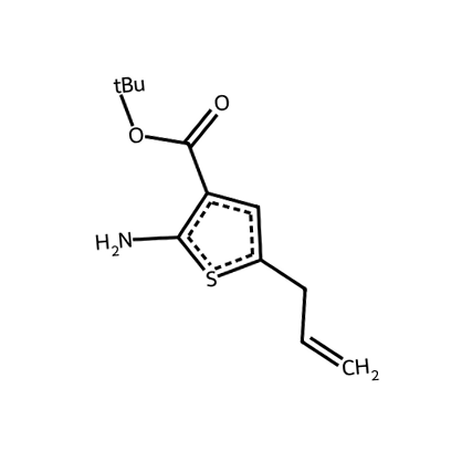 C=CCc1cc(C(=O)OC(C)(C)C)c(N)s1